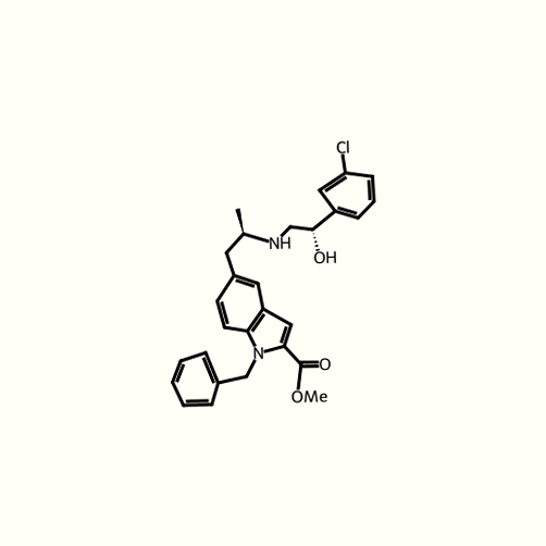 COC(=O)c1cc2cc(C[C@@H](C)NC[C@@H](O)c3cccc(Cl)c3)ccc2n1Cc1ccccc1